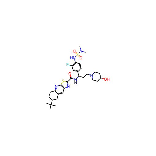 CN(C)S(=O)(=O)Nc1ccc([C@@H](CCN2CCC(O)CC2)NC(=O)c2nc3cc4c(nc3s2)CC[C@H](C(C)(C)C)C4)cc1F